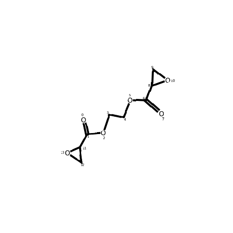 O=C(OCCOC(=O)C1CO1)C1CO1